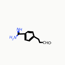 N=C(N)c1ccc(CC[C]=O)cc1